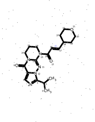 CC(C)c1ncc2c(=O)n3c(nn12)N(C(=O)/C=C/C1CCOCC1)CCC3